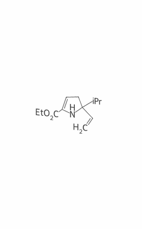 C=CC1(C(C)C)CC=C(C(=O)OCC)N1